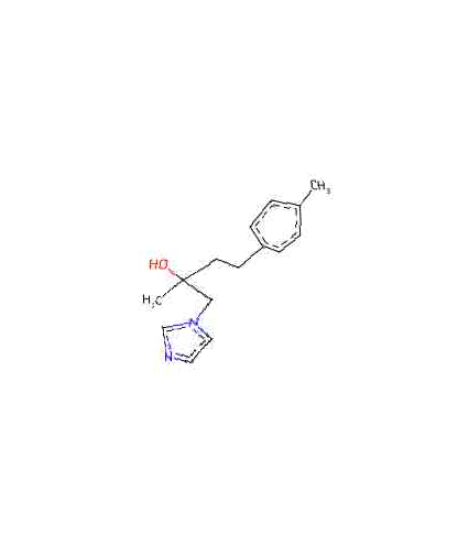 Cc1ccc(CCC(C)(O)Cn2ccnc2)cc1